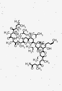 C/C=C\C[C@@H](C)[C@H](O)C(C(=O)N[C@@H](CC)C(=O)N(C)CC(=O)N(C)CC(N)=O)N(C)C(=O)[C@H](C(C)C)N(C)C(=O)[C@@H](CC(C)C)N(C)C(=O)[C@@H](CC(C)C)N(C)C(=O)[C@H](C)NC(=O)[C@@H](C)NC(=O)[C@H](C)N(C)C(=O)[C@H](C)CC(C)C